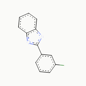 Clc1cccc(-c2nc3ccccc3[nH]2)c1